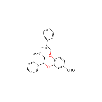 COCC(Oc1cc(C=O)ccc1OC[C@H](C)c1ccccc1)c1ccccc1